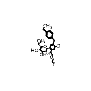 CCc1ccc(Cc2cc([C@@H]3O[C@H](CO)[C@@H](O)[C@H](O)[C@H]3O)c(CCOCCF)cc2Cl)cc1